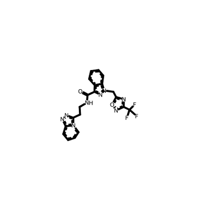 O=C(NCCc1nnc2ccccn12)c1nn(Cc2nc(C(F)(F)F)no2)c2ccccc12